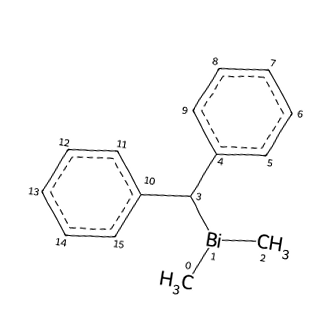 [CH3][Bi]([CH3])[CH](c1ccccc1)c1ccccc1